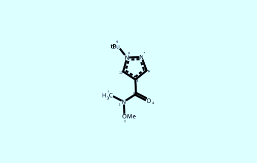 CON(C)C(=O)c1cnn(C(C)(C)C)c1